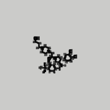 CN(Cc1ccc(C(F)(F)F)c(F)c1)[C@H]1CN(C(=O)CN2CCN(CCCO)CC2)C[C@@H]1c1ccc(Cl)c(Cl)c1